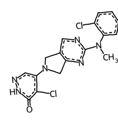 CN(c1ncc2c(n1)CN(c1cn[nH]c(=O)c1Cl)C2)c1ccccc1Cl